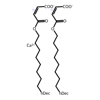 CCCCCCCCCCCCCCCCCCOC(=O)/C=C\C(=O)[O-].CCCCCCCCCCCCCCCCCCOC(=O)/C=C\C(=O)[O-].[Ca+2]